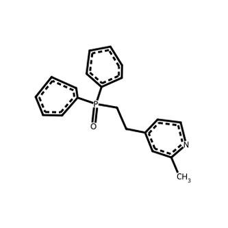 Cc1cc(CCP(=O)(c2ccccc2)c2ccccc2)ccn1